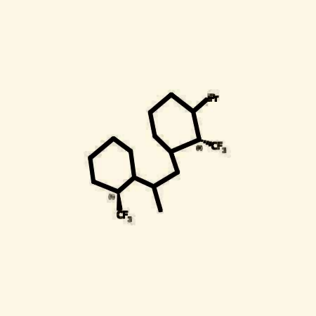 CC(C)C1CCCC(CC(C)C2CCCC[C@@H]2C(F)(F)F)[C@H]1C(F)(F)F